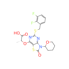 C[C@@H](Oc1nc(SCc2cccc(F)c2F)nc2c1sc(=O)n2C1CCCCO1)C(=O)O